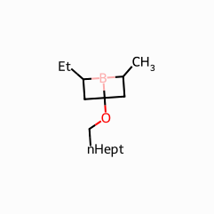 CCCCCCCCOC12CC(C)B1C(CC)C2